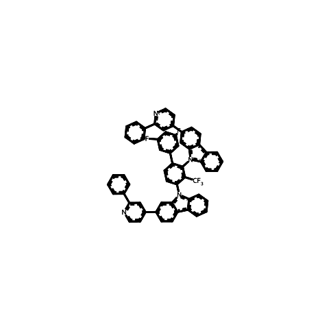 Fc1cc(F)cc(-c2ccc(-n3c4ccccc4c4ccc(-c5ccnc(-c6ccccc6)c5)cc43)c(C(F)(F)F)c2-n2c3ccccc3c3ccc(-c4ccnc(-c5ccccc5)c4)cc32)c1